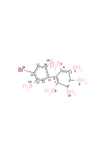 BC/C(B)=C(B)\C(=C(\B)CB)c1cc(B)c(Br)cc1B